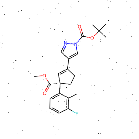 COC(=O)[C@]1(c2cccc(F)c2C)C=C(c2cnn(C(=O)OC(C)(C)C)c2)CC1